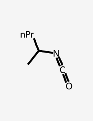 [CH2]CCC(C)N=C=O